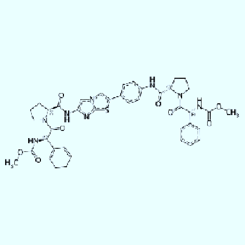 COC(=O)N[C@@H](C(=O)N1CCC[C@H]1C(=O)Nc1cn2cc(-c3ccc(NC(=O)[C@@H]4CCCN4C(=O)[C@H](NC(=O)OC)c4ccccc4)cc3)sc2n1)C1=CCCC=C1